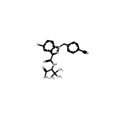 CC(C)(C)C(NC(=O)c1nn(Cc2ccc(C#N)cc2)c2ccc(F)cc12)C(N)=O